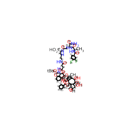 CC(=O)C[C@@]12CO[C@@H]1C[C@H](O)[C@@]1(C)C(=O)[C@H](O)C3=C(C)[C@@H](OC(=O)[C@H](OC(=O)CCC(=O)NCCCC[C@H](NC(=O)CC[C@@H](NC(=O)[C@H](C)NC(=O)c4ccc(F)c(F)c4)C(N)=O)C(=O)O)[C@@H](NC(=O)OC(C)(C)C)c4ccccc4)C[C@@](O)([C@@H](OC(=O)c4ccccc4)[C@H]21)C3(C)C